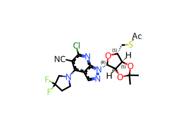 CC(=O)SC[C@H]1O[C@@H](n2ncc3c(N4CCC(F)(F)C4)c(C#N)c(Cl)nc32)[C@@H]2OC(C)(C)O[C@@H]21